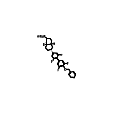 CCCCCCCC1CC[C@@H]2C[C@H](c3cc(F)c(-c4cc(F)c(OCc5ccccc5)c(F)c4)c(F)c3)CC[C@@H]2C1